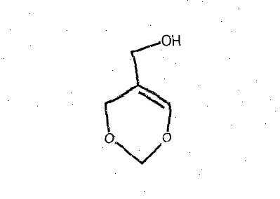 OCC1=COCOC1